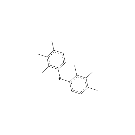 Cc1ccc([B]c2ccc(C)c(C)c2C)c(C)c1C